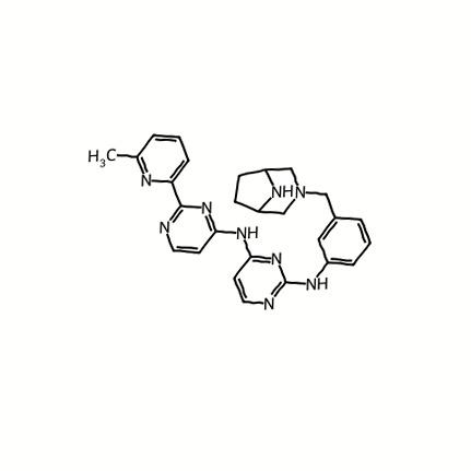 Cc1cccc(-c2nccc(Nc3ccnc(Nc4cccc(CN5CC6CCC(C5)N6)c4)n3)n2)n1